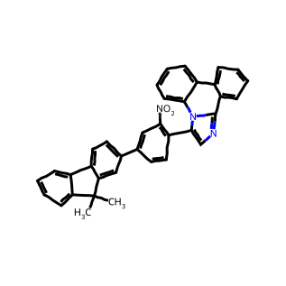 CC1(C)c2ccccc2-c2ccc(-c3ccc(-c4cnc5c6ccccc6c6ccccc6n45)c([N+](=O)[O-])c3)cc21